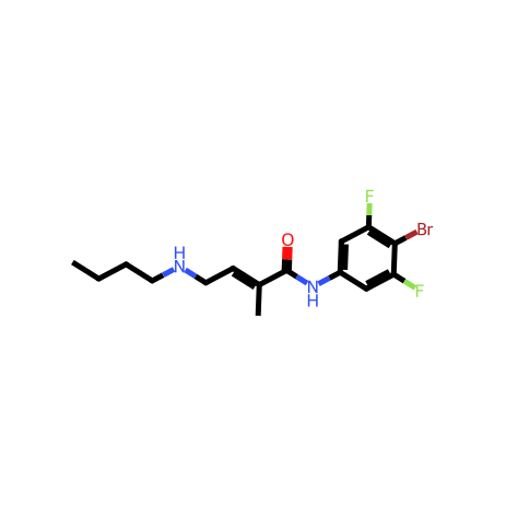 CCCCNC/C=C(\C)C(=O)Nc1cc(F)c(Br)c(F)c1